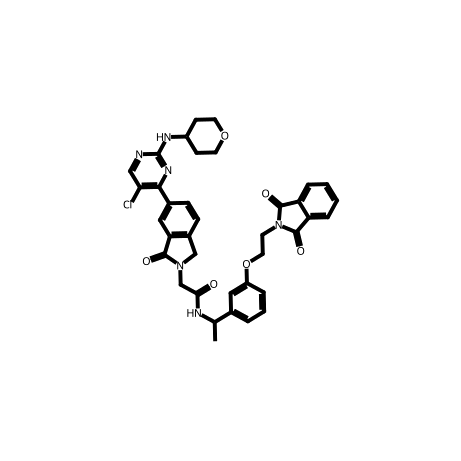 CC(NC(=O)CN1Cc2ccc(-c3nc(NC4CCOCC4)ncc3Cl)cc2C1=O)c1cccc(OCCN2C(=O)c3ccccc3C2=O)c1